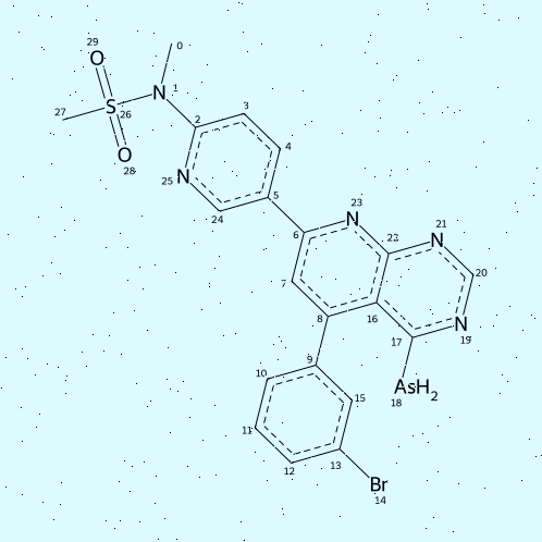 CN(c1ccc(-c2cc(-c3cccc(Br)c3)c3c([AsH2])ncnc3n2)cn1)S(C)(=O)=O